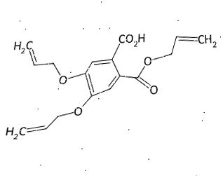 C=CCOC(=O)c1cc(OCC=C)c(OCC=C)cc1C(=O)O